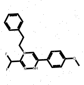 COc1ccc(C2=CN(CCc3ccccc3)C(C(F)F)=NN2)cc1